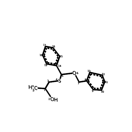 CC(O)CSC(OCc1ccccc1)c1ccccc1